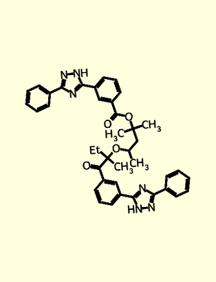 CCC(C)(OC(C)CC(C)(C)OC(=O)c1cccc(-c2nc(-c3ccccc3)n[nH]2)c1)C(=O)c1cccc(-c2nc(-c3ccccc3)n[nH]2)c1